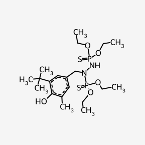 CCOP(=S)(NN(Cc1cc(C)c(O)c(C(C)(C)C)c1)P(=S)(OCC)OCC)OCC